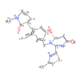 Cc1csc(-c2nc(=O)cc(O)n2Cc2ccc(-c3cccn(C)c3=O)c(F)c2)n1